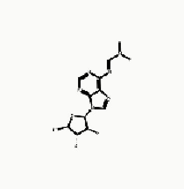 C[C@H]1[C@H](F)[C@H](n2cnc3c(/N=C/N(C)C)ncnc32)O[C@@H]1Cl